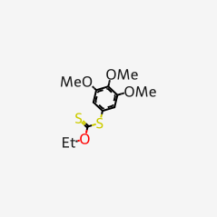 CCOC(=S)Sc1cc(OC)c(OC)c(OC)c1